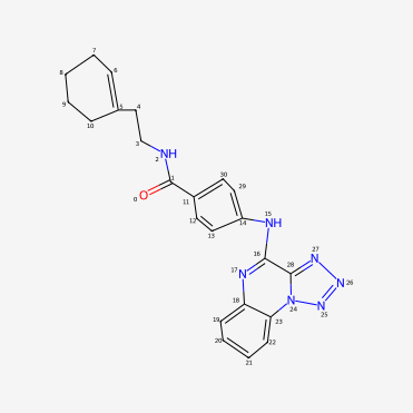 O=C(NCCC1=CCCCC1)c1ccc(Nc2nc3ccccc3n3nnnc23)cc1